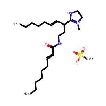 CCCCCCCCCCCCCCC=CC(CCNC(=O)C=CCCCCCCCCCCCCCCC)C1=[N+](C)CCN1.COS(=O)(=O)[O-]